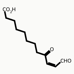 O=C/C=C\C(=O)CCCCCCCC(=O)O